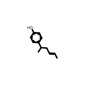 CC=CCC(C)c1ccc(O)cc1